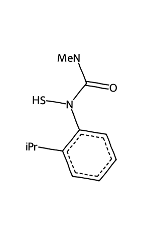 CNC(=O)N(S)c1ccccc1C(C)C